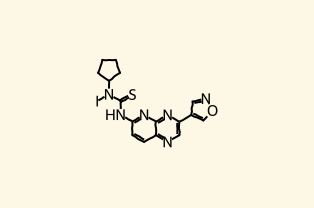 S=C(Nc1ccc2ncc(-c3cnoc3)nc2n1)N(I)C1CCCC1